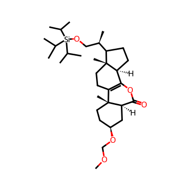 COCO[C@H]1CC[C@]2(C)C3=C(OC(=O)[C@H]2C1)[C@@H]1CCC([C@H](C)CO[Si](C(C)C)(C(C)C)C(C)C)[C@@]1(C)CC3